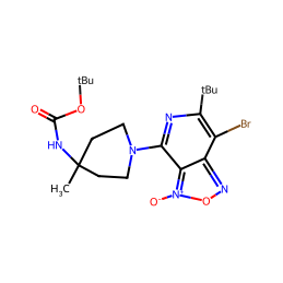 CC1(NC(=O)OC(C)(C)C)CCN(c2nc(C(C)(C)C)c(Br)c3no[n+]([O-])c23)CC1